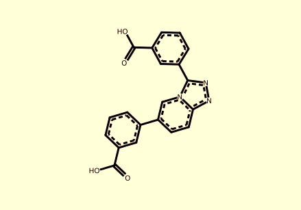 O=C(O)c1cccc(-c2ccc3nnc(-c4cccc(C(=O)O)c4)n3c2)c1